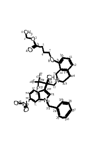 CCOC(=O)CCCOc1cccc2c1CN(CC(C)(c1cn(Cc3ccccc3)c3cc([N+](=O)[O-])ccc13)C(F)(F)F)CC2